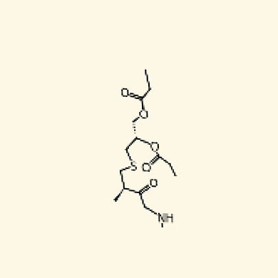 CCC(=O)OC[C@@H](CSC[C@H](C)C(=O)CNC)OC(=O)CC